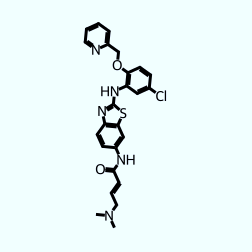 CN(C)C/C=C/C(=O)Nc1ccc2nc(Nc3cc(Cl)ccc3OCc3ccccn3)sc2c1